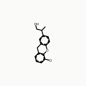 CC(CO)c1ccc2c(c1)Cc1cccc(Cl)c1O2